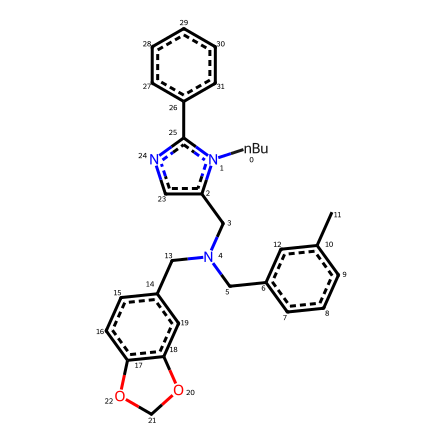 CCCCn1c(CN(Cc2cccc(C)c2)Cc2ccc3c(c2)OCO3)cnc1-c1ccccc1